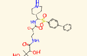 CC(C)(CO)C(O)C(=O)NCCC(=O)C(=O)NC(C1CCNCC1)S(=O)(=O)c1ccc(-c2ccccc2)cc1